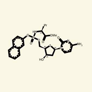 COC(=O)[C@@H](NP(=O)(OC[C@H]1S[C@@H](n2ccc(N)nc2=O)C[C@H]1O)Oc1ccc2ccccc2c1)C(C)C